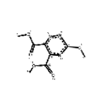 COC(=O)c1nnc(SC)nc1C(=O)OC